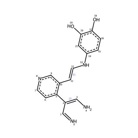 N=C/C(=C\N)c1ccncc1/C=C/Nc1ccc(O)c(O)c1